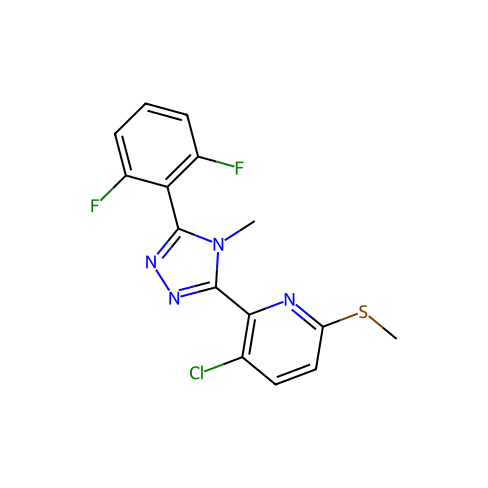 CSc1ccc(Cl)c(-c2nnc(-c3c(F)cccc3F)n2C)n1